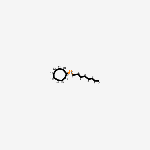 CCCCCCCC[P]C1CCCCCCCC1